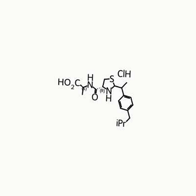 CC(C)Cc1ccc(C(C)C2N[C@H](C(=O)N[C@@H](C)C(=O)O)CS2)cc1.Cl